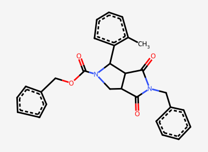 Cc1ccccc1C1C2C(=O)N(Cc3ccccc3)C(=O)C2CN1C(=O)OCc1ccccc1